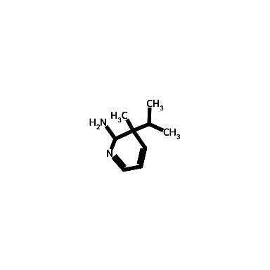 CC(C)C1(C)C=CC=NC1N